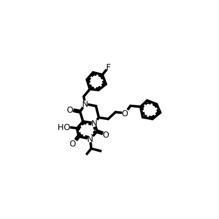 CC(C)n1c(=O)c(O)c2n(c1=O)C(CCOCc1ccccc1)CN(Cc1ccc(F)cc1)C2=O